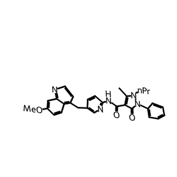 CCCn1c(C)c(C(=O)Nc2ccc(Cc3ccnc4cc(OC)ccc34)cn2)c(=O)n1-c1ccccc1